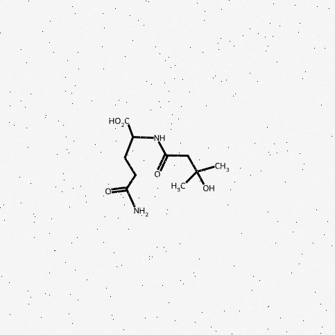 CC(C)(O)CC(=O)NC(CCC(N)=O)C(=O)O